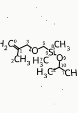 C=C(C)COC[Si](C)(C)OC(C)C